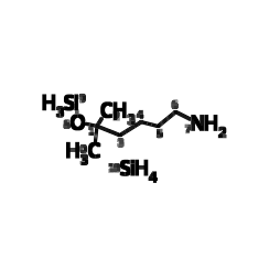 CC(C)(CCCCN)O[SiH3].[SiH4]